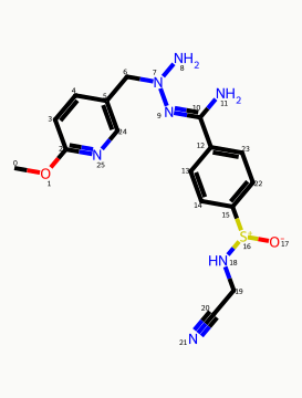 COc1ccc(CN(N)/N=C(\N)c2ccc([S+]([O-])NCC#N)cc2)cn1